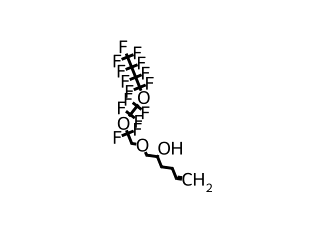 C=CCC[C@H](O)COCC(F)(F)OC(F)(F)C(F)(F)OC(F)(F)C(F)(F)C(F)(F)C(F)(F)F